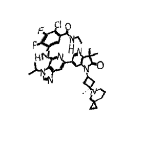 CCNC(=O)c1cc(Nc2nc(-c3cnc4c(c3)N([C@H]3C[C@@](C)(N5CCCC6(CC6)C5)C3)C(=O)C4(C)C)cc3ncn(C(C)C)c23)c(F)c(F)c1Cl